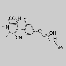 CC1=C(C(=O)O)C(c2ccc(OC[C@@H](O)CNC(C)C)cc2Cl)=C(C#N)C(C)N1C